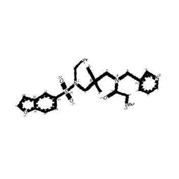 CC(C)CN(CC(C)(C)CN(Cc1cccnc1)C(=O)CC(C)(C)C)S(=O)(=O)c1ccc2occc2c1